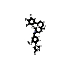 COc1cc(/C=C2\CC[C@H]3CCC=C(c4cc(F)c(F)c(F)c4)N3C2=O)ccc1-n1cnc(C)c1